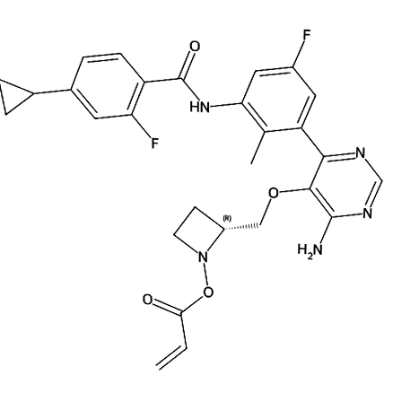 C=CC(=O)ON1CC[C@@H]1COc1c(N)ncnc1-c1cc(F)cc(NC(=O)c2ccc(C3CC3)cc2F)c1C